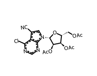 CC(=O)OC[C@H]1O[C@@H](n2cc(C#N)c3c(Cl)ncnc32)[C@H](OC(C)=O)[C@@H]1OC(C)=O